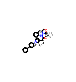 CC1(C)OC[C@H](Cc2ccccc2)N1NC(=O)[C@H](CC(=O)O)c1ccn(-c2ccc(-c3ccccc3)cc2)c1